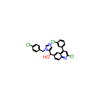 OC(c1ccc2nc(Cl)cc(-c3cccc(Cl)c3)c2c1)c1cncn1Cc1ccc(Cl)cc1